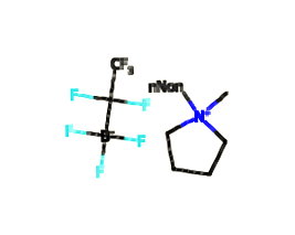 CCCCCCCCC[N+]1(C)CCCC1.F[B-](F)(F)C(F)(F)C(F)(F)F